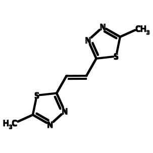 Cc1nnc(/C=C/c2nnc(C)s2)s1